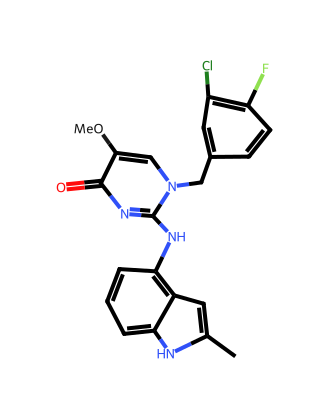 COc1cn(Cc2ccc(F)c(Cl)c2)c(Nc2cccc3[nH]c(C)cc23)nc1=O